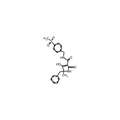 CC1(Cc2ccccc2)NC(=O)C(C(=O)NCc2ccc(S(C)(=O)=O)cc2)=C1O